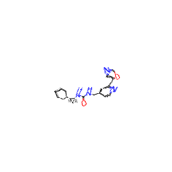 O=C(NCc1ccnc(-c2cnco2)c1)N[C@@H]1C[C@H]1C1CCCCC1